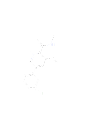 C=Cc1cc(-c2cccc(Cl)c2)cnc1C(=C)NC